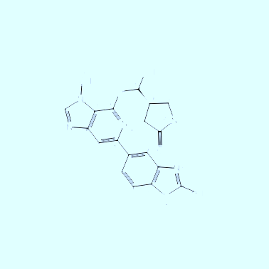 Cc1nc2cc(-c3cc4ncn(C)c4c(OC(C)[C@H]4CNC(=O)C4)n3)ccc2s1